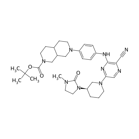 CN1CCN([C@@H]2CCCN(c3cnc(C#N)c(Nc4ccc(N5CCC6CCN(C(=O)OC(C)(C)C)CC6C5)cc4)n3)C2)C1=O